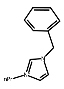 CCC[n+]1ccn(Cc2ccccc2)c1